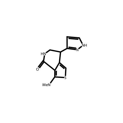 CNc1scc2c1C(=O)NCC2c1cc[nH]n1